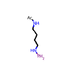 CC(=O)NCCCCNP